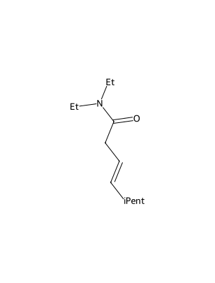 CCCC(C)/C=C/CC(=O)N(CC)CC